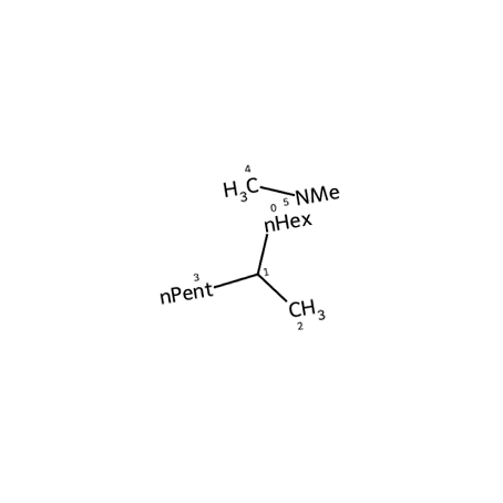 CCCCCCC(C)CCCCC.CNC